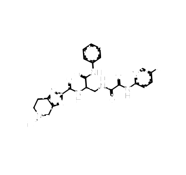 CN1CCc2nc(C(=O)NC(CNC(=O)C(=O)Nc3ccc(Cl)cn3)C(=O)Nc3ccccc3)sc2C1